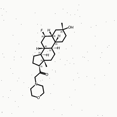 C[C@@]1(O)CC[C@@H]2[C@H]3CC[C@]4(C)[C@@H](C(=O)CN5CCOCC5)CC[C@H]4[C@@H]3C[C@@H](F)[C@@H]2C1